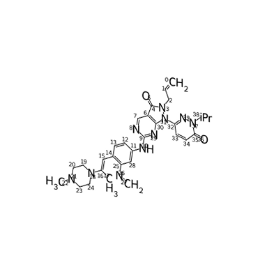 C=CCn1c(=O)c2cnc(Nc3ccc(/C=C(\C)N4CCN(C)CC4)c(N=C)c3)nc2n1-c1ccc(=O)n(C(C)C)n1